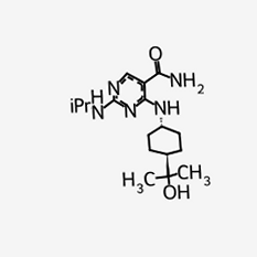 CC(C)Nc1ncc(C(N)=O)c(N[C@H]2CC[C@H](C(C)(C)O)CC2)n1